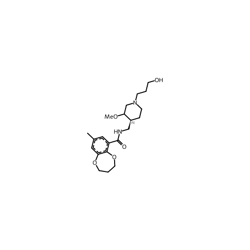 COC1CN(CCCO)CC[C@H]1CNC(=O)c1cc(C)cc2c1OCCCO2